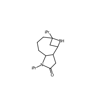 CC(C)N1C(=O)CC2C3BC(C(C)C)(CCCC21)C3